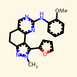 COc1ccccc1Nc1ncc2c(n1)-c1c(nn(C)c1-c1ccco1)CC2